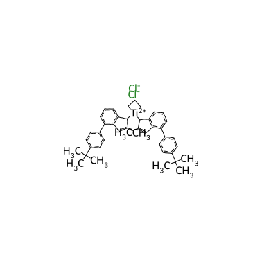 CC1=Cc2c(-c3ccc(C(C)(C)C)cc3)cccc2[CH]1[Ti+2]1([CH]2C(C)=Cc3c(-c4ccc(C(C)(C)C)cc4)cccc32)[CH2]C[CH2]1.[Cl-].[Cl-]